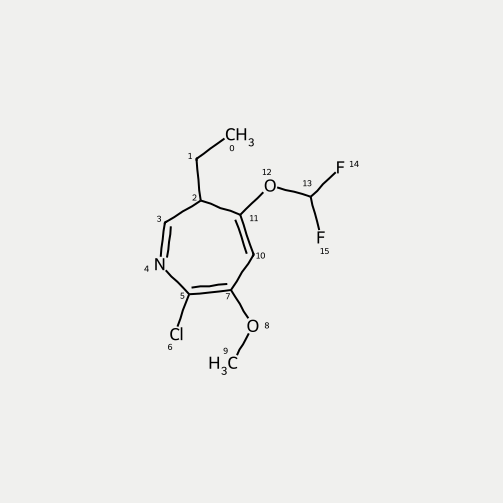 CCC1C=NC(Cl)=C(OC)C=C1OC(F)F